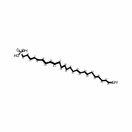 O=P(O)(O)CCCCCCCCCCCCCCCCCCCCCCCCCS